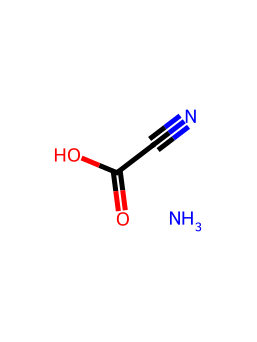 N.N#CC(=O)O